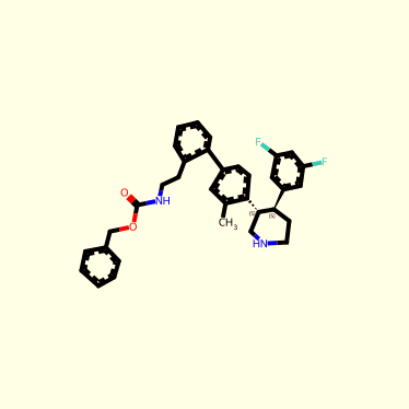 Cc1cc(-c2ccccc2CCNC(=O)OCc2ccccc2)ccc1[C@H]1CNCC[C@@H]1c1cc(F)cc(F)c1